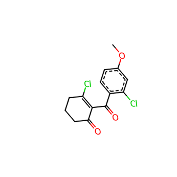 COc1ccc(C(=O)C2=C(Cl)CCCC2=O)c(Cl)c1